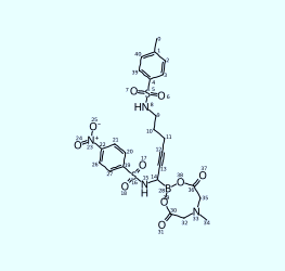 Cc1ccc(S(=O)(=O)NCCCC#CC(NS(=O)(=O)c2ccc([N+](=O)[O-])cc2)B2OC(=O)CN(C)CC(=O)O2)cc1